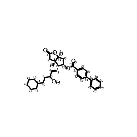 O=C1C[C@@H]2[C@@H](C=CC(O)CCC3CCCCC3)[C@H](OC(=O)c3ccc(-c4ccccc4)cc3)C[C@@H]2O1